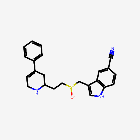 N#Cc1ccc2[nH]cc(C[S+]([O-])CCC3CC(c4ccccc4)=CCN3)c2c1